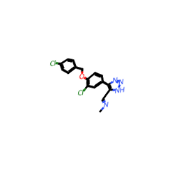 C/N=C/c1[nH]nnc1-c1ccc(OCc2ccc(Cl)cc2)c(Cl)c1